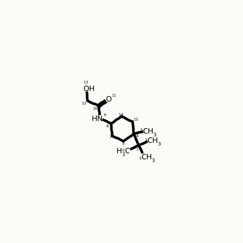 CC(C)(C)C1(C)CCC(NC(=O)CO)CC1